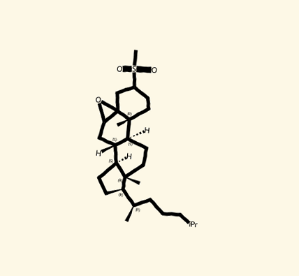 CC(C)CCC[C@@H](C)[C@H]1CC[C@H]2[C@@H]3CC4OC45CC(S(C)(=O)=O)CC[C@]5(C)[C@H]3CC[C@]12C